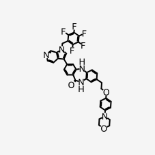 O=C1Nc2cc(CCOc3ccc(N4CCOCC4)cc3)ccc2Nc2cc(-c3cn(Cc4c(F)c(F)c(F)c(F)c4F)c4cnccc34)ccc21